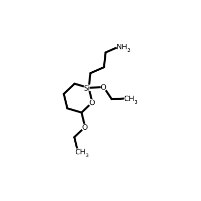 CCOC1CCC[Si](CCCN)(OCC)O1